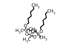 CCCCCCO[Si](C)(C)O[Si](C)(C)O[Si](C)(C)OCCCCCC